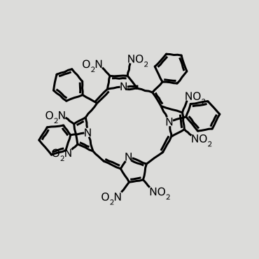 O=[N+]([O-])C1=C([N+](=O)[O-])c2cc3c([N+](=O)[O-])c([N+](=O)[O-])c(c(-c4ccccc4)c4nc(c(-c5ccccc5)c5c([N+](=O)[O-])c([N+](=O)[O-])c(cc1n2)n5-c1ccccc1)C([N+](=O)[O-])=C4[N+](=O)[O-])n3-c1ccccc1